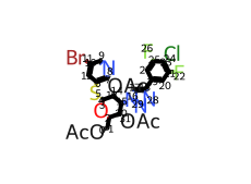 CC(=O)OCC1O[C@H](Sc2cncc(Br)c2)C(OC(C)=O)C(n2cc(-c3cc(F)c(Cl)c(F)c3)nn2)[C@H]1OC(C)=O